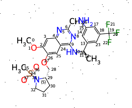 COc1cc2nc(C)nc(N[C@H](C)c3cc(N)cc(C(F)(F)F)c3)c2cc1OC[C@@H]1CCCN1S(C)(=O)=O